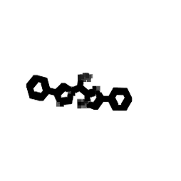 [CH2]CCC(c1nc(-c2ccccc2)c[nH]1)n1cnc(-c2ccccc2)c1